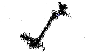 COc1cc(/C=C2\SC(=O)N(CCOCCOCCCCCOCCCCCOCCOCC(=O)N[C@H](C(=O)N3C[C@H](O)C[C@H]3C(=O)NCc3ccc(-c4scnc4C)cc3)C(C)(C)C)C2=O)ccc1Oc1ccc(C#N)cc1C(F)(F)F